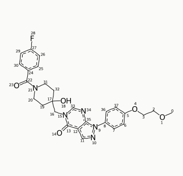 COCCOc1ccc(-n2ncc3c(=O)n(CC4(O)CCN(C(=O)c5ccc(F)cc5)CC4)cnc32)cc1